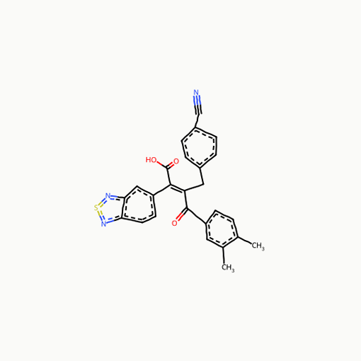 Cc1ccc(C(=O)/C(Cc2ccc(C#N)cc2)=C(/C(=O)O)c2ccc3nsnc3c2)cc1C